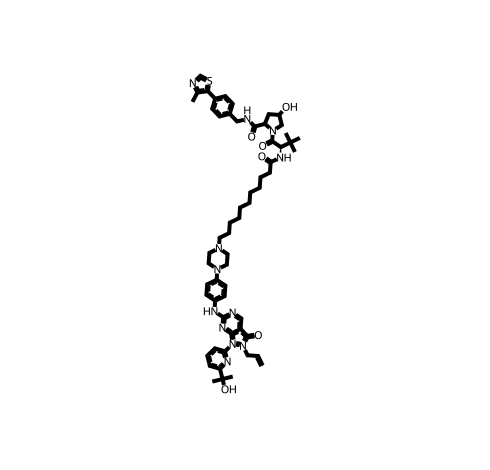 C=CCn1c(=O)c2cnc(Nc3ccc(N4CCN(CCCCCCCCCCC(=O)N[C@H](C(=O)N5CC(O)CC5C(=O)NCc5ccc(-c6scnc6C)cc5)C(C)(C)C)CC4)cc3)nc2n1-c1cccc(C(C)(C)O)n1